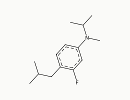 CC(C)Cc1ccc(N(C)C(C)C)cc1F